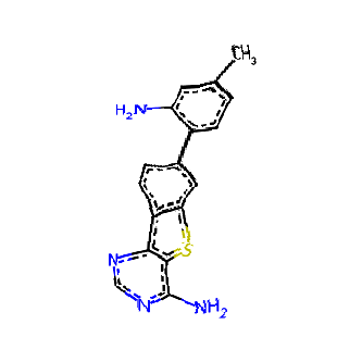 Cc1ccc(-c2ccc3c(c2)sc2c(N)ncnc23)c(N)c1